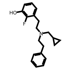 Oc1cccc(CCN(CCc2ccccc2)CC2CC2)c1F